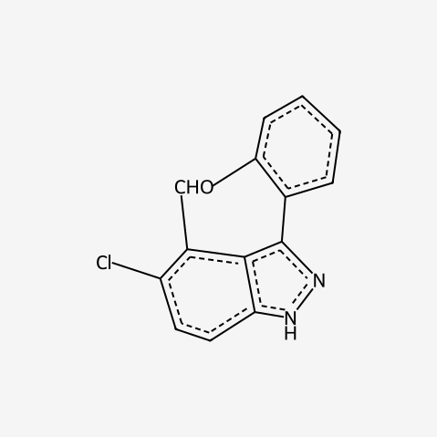 Cc1ccccc1-c1n[nH]c2ccc(Cl)c(C=O)c12